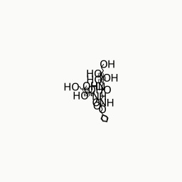 O=C(CCC(NC(=O)OCc1ccccc1)C(=O)NC[C@H](O)[C@@H](O)[C@H](O)CCO)NC[C@H](O)[C@@H](O)[C@H](O)CCO